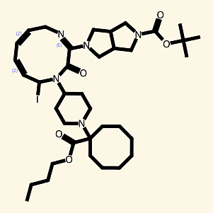 CCCCOC(=O)C1(N2CCC(N3C(=O)/C(N4CC5CN(C(=O)OC(C)(C)C)CC5C4)=N\C/C=C\C=C/C3I)CC2)CCCCCCC1